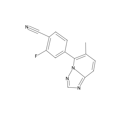 Cc1ccc2ncnn2c1-c1ccc(C#N)c(F)c1